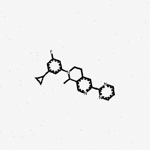 CC1c2cnc(-c3ncccn3)cc2CCN1c1cc(F)cc(C2CC2)c1